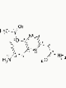 CC(=O)Oc1ncc(CC(N)=O)cc1CC(N)=O